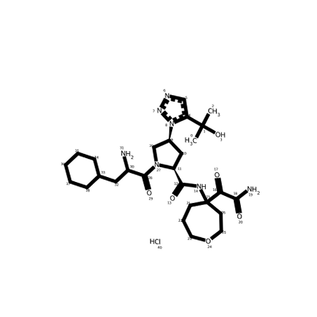 CC(C)(O)c1cnnn1[C@H]1C[C@@H](C(=O)NC2(C(=O)C(N)=O)CCCOCC2)N(C(=O)C(N)CC2CCCCC2)C1.Cl